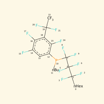 CCCCCCC(F)(F)C(F)(F)C(F)(F)P(CCCC)c1cc(F)c(F)c(C(F)(F)C(F)(F)F)c1F